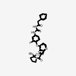 CC(C)(C)C1(C(=O)O)CCCN1C(=O)c1cc2nccc(Oc3ccc(NC(=S)NC(=O)Cc4ccccc4)cc3F)c2s1